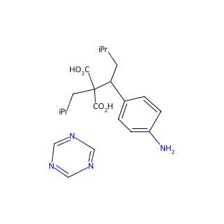 CC(C)CC(c1ccc(N)cc1)C(CC(C)C)(C(=O)O)C(=O)O.c1ncncn1